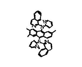 Cc1ccc2c(N(c3ccccn3)c3nccc4ccccc34)c3cc(C)c(C)cc3c(N(c3ccccn3)c3nccc4ccccc34)c2c1